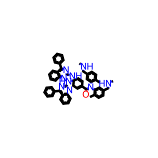 CNCc1ccc(C)c(N(C(=O)C2=CCC(Nc3nc(-c4ccccc4)c4ccccc4n3)(Nc3nc(-c4ccccc4)c4ccccc4n3)C=C2)c2cc(CNC)ccc2C)c1